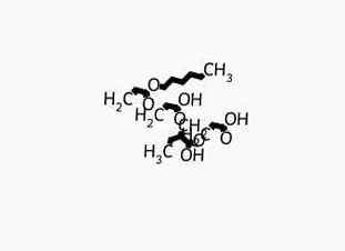 C=C(CC)C(=O)O.C=CC(=O)O.C=CC(=O)O.C=CC(=O)OCCCCCC